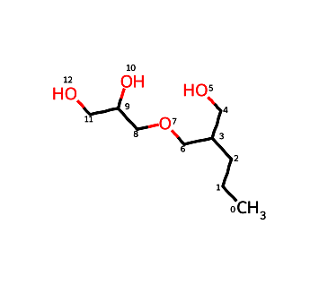 CCCC(CO)COCC(O)CO